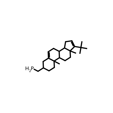 CC(C)(C)C1=CCC2C3CC=C4CC(CP)CCC4(C)C3CCC12C